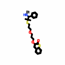 CCNC(c1ccccc1)C(C)(C)SCCCOCCCOc1cc2ccccc2sc1=O